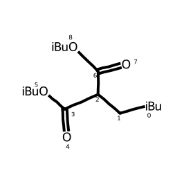 CCC(C)CC(C(=O)OCC(C)C)C(=O)OCC(C)C